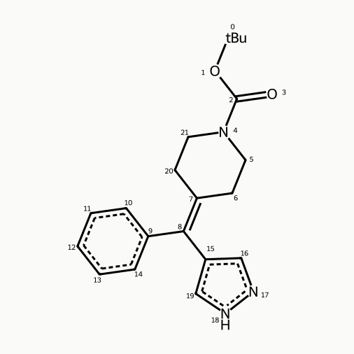 CC(C)(C)OC(=O)N1CCC(=C(c2ccccc2)c2cn[nH]c2)CC1